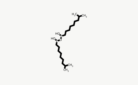 CC(C)CCCCCCCP(O)OP(O)CCCCCCCC(C)C